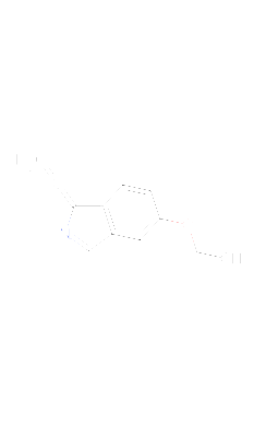 C=C=C1N=Cc2cc(OCC)ccc21